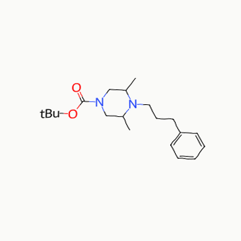 CC1CN(C(=O)OC(C)(C)C)CC(C)N1CCCc1ccccc1